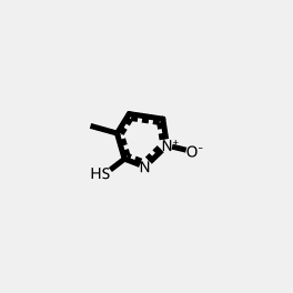 Cc1cc[n+]([O-])nc1S